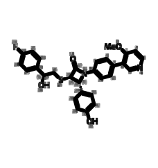 COc1ccncc1-c1ccc(N2C(=O)[C@H](SC[C@@H](O)c3ccc(F)cc3)[C@H]2c2ccc(O)cc2)cc1